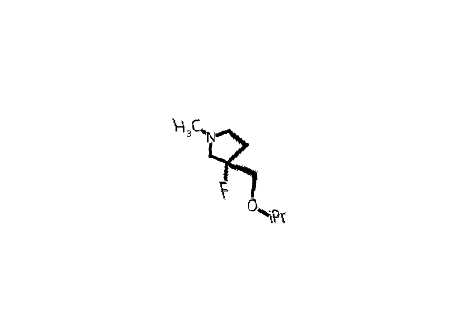 CC(C)OCC1(F)CCN(C)C1